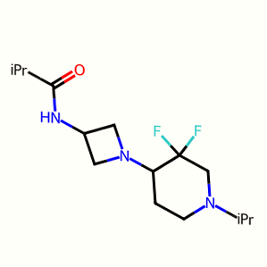 CC(C)C(=O)NC1CN(C2CCN(C(C)C)CC2(F)F)C1